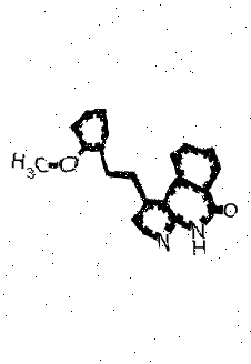 COc1ccccc1CCc1ccnc2[nH]c(=O)c3ccccc3c12